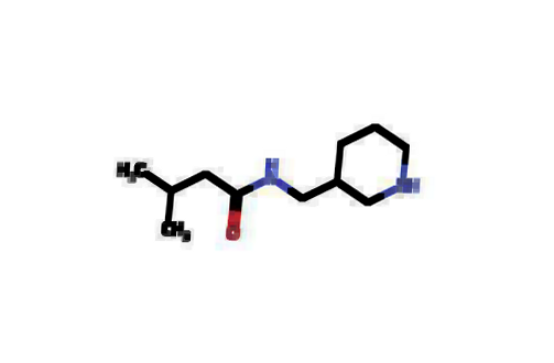 CC(C)CC(=O)NCC1CCCNC1